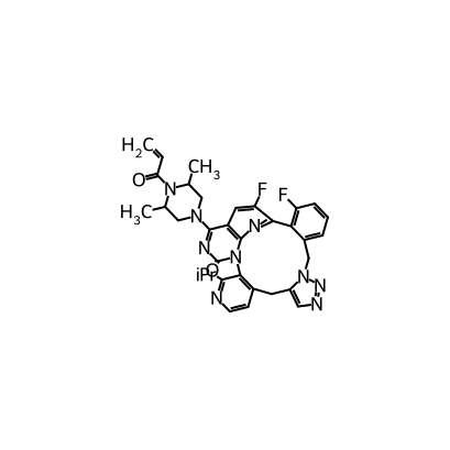 C=CC(=O)N1C(C)CN(c2nc(=O)n3c4nc(c(F)cc24)-c2c(F)cccc2Cn2nncc2Cc2ccnc(C(C)C)c2-3)CC1C